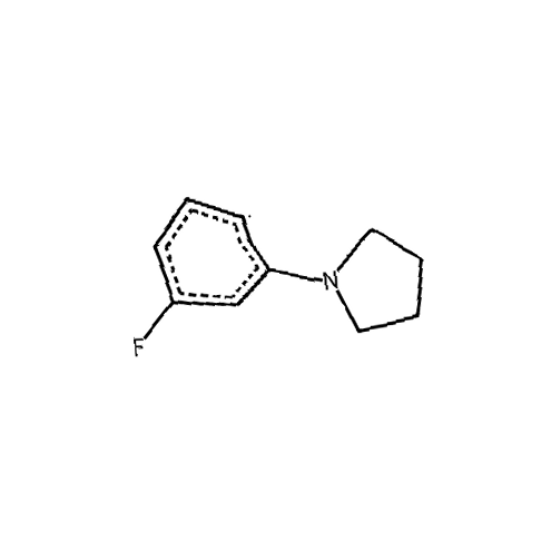 Fc1cc[c]c(N2CCCC2)c1